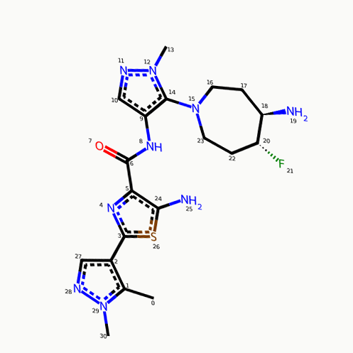 Cc1c(-c2nc(C(=O)Nc3cnn(C)c3N3CC[C@@H](N)[C@H](F)CC3)c(N)s2)cnn1C